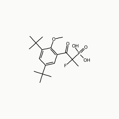 COc1c(C(=O)C(C)(F)P(=O)(O)O)cc(C(C)(C)C)cc1C(C)(C)C